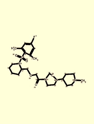 Cc1cc(F)cc(C)c1S(=O)(=O)N1CCCCC1COCC(=O)N1CCN(C2CCN(C)CC2)CC1